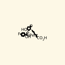 CCCCCC(O)(CS[C@H]1C(O)CC(=O)[C@@H]1CC=CCCCC(=O)O)c1ccc(F)cc1